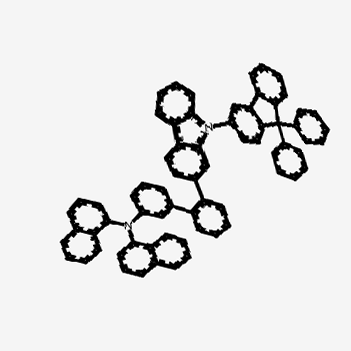 c1ccc(C2(c3ccccc3)c3ccccc3-c3cc(-n4c5ccccc5c5ccc(-c6ccccc6-c6cccc(N(c7cccc8ccccc78)c7cccc8ccccc78)c6)cc54)ccc32)cc1